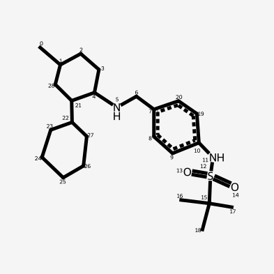 CC1CCC(NCc2ccc(NS(=O)(=O)C(C)(C)C)cc2)C(C2CCCCC2)C1